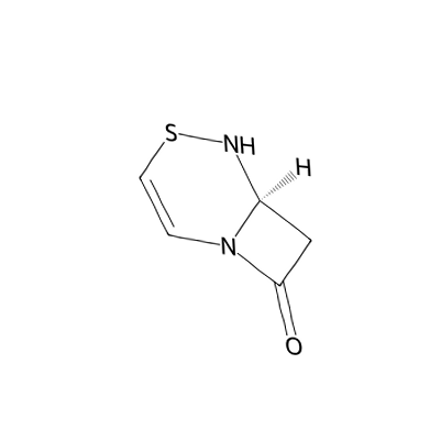 O=C1C[C@@H]2NSC=CN12